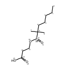 CCCCCC(C)(C)[PH](=O)OCCC(=O)O